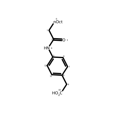 CCCCCCCCCC(=O)Nc1ccc(CC(=O)O)cc1